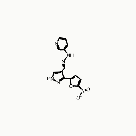 O=[N+]([O-])c1ccc(-c2n[nH]cc2/C=N/Nc2cccnc2)o1